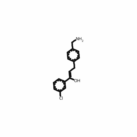 NCc1ccc(CC=C(O)c2cccc(Cl)c2)cc1